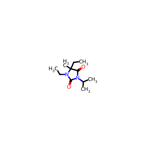 CCN1C(=O)N(C(C)C)C(=O)C1(C)CC